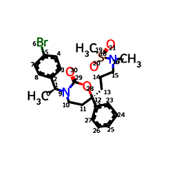 C[C@@H](c1ccc(Br)cc1)N1CC[C@](CCCN(C)S(C)(=O)=O)(c2ccccc2)OC1=O